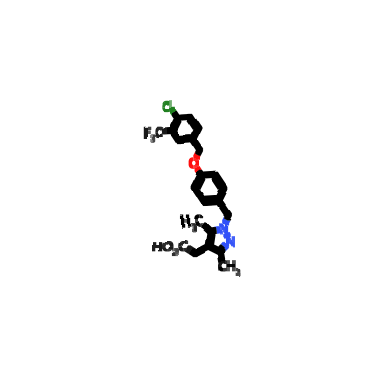 Cc1nn(Cc2ccc(OCc3ccc(Cl)c(C(F)(F)F)c3)cc2)c(C)c1CC(=O)O